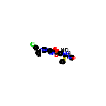 CC1(C)CCC(c2ccc(Cl)cc2)=C(CN2CCN(c3ccc(C(=O)NS(=O)(=O)c4ccc(N[C@H](CCN5CCOCC5)CSc5ccccc5)c([N+](=O)[O-])c4)cc3)CC2)C1